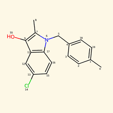 Cc1ccc(Cn2c(C)c(O)c3cc(Cl)ccc32)cc1